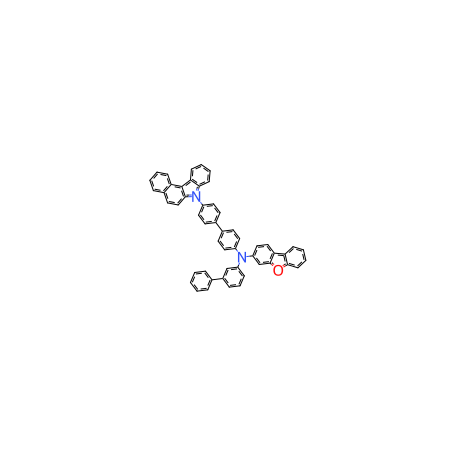 c1ccc(-c2cccc(N(c3ccc(-c4ccc(-n5c6ccccc6c6c7ccccc7ccc65)cc4)cc3)c3ccc4c(c3)oc3ccccc34)c2)cc1